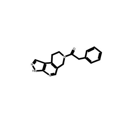 O=C(Cc1ccccc1)N1CCc2c(cnc3[nH]ncc23)C1